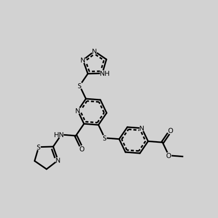 COC(=O)c1ccc(Sc2ccc(Sc3nnc[nH]3)nc2C(=O)NC2=NCCS2)cn1